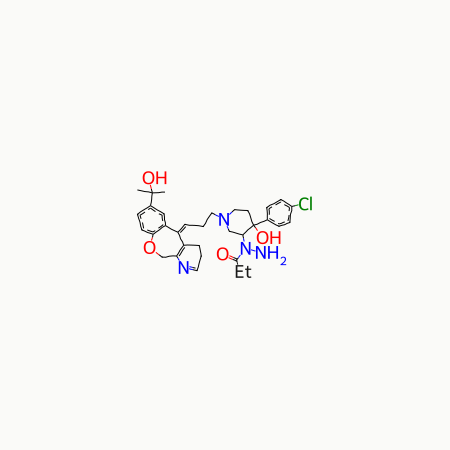 CCC(=O)N(N)C1CN(CC/C=C2\C3=C(COc4ccc(C(C)(C)O)cc42)N=CCC3)CCC1(O)c1ccc(Cl)cc1